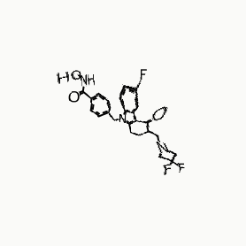 O=C(NO)c1ccc(Cn2c3c(c4cc(F)ccc42)C(=O)C(CN2CC(F)(F)C2)CC3)cc1